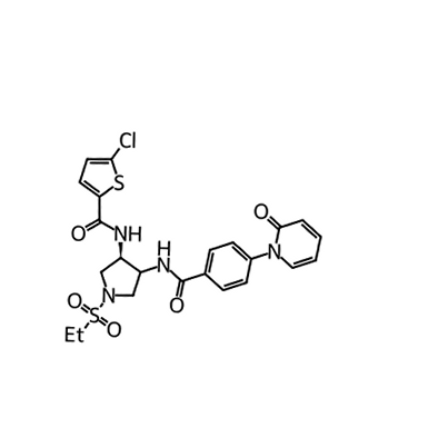 CCS(=O)(=O)N1CC(NC(=O)c2ccc(-n3ccccc3=O)cc2)[C@H](NC(=O)c2ccc(Cl)s2)C1